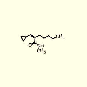 CCCCCC(=CC1CC1)C(=O)NC